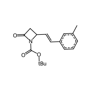 Cc1cccc(C=CC2CC(=O)N2C(=O)OC(C)(C)C)c1